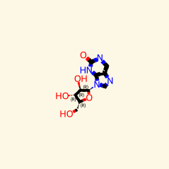 O=c1ncc2ncn([C@@H]3O[C@H](CO)[C@H](O)[C@H]3O)c2[nH]1